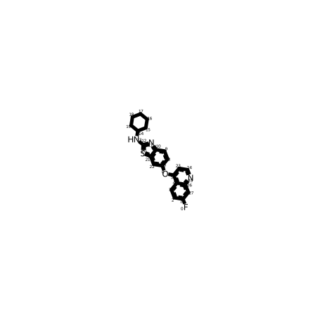 Fc1ccc2c(Oc3ccc4nc(NC5CCCCC5)sc4c3)ccnc2c1